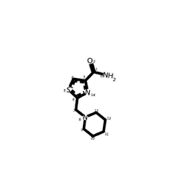 NC(=O)c1csc(CN2CCCCC2)n1